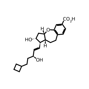 O=C(O)c1ccc2c(c1)O[C@H]1C[C@@H](O)[C@H](/C=C/[C@@H](O)CCC3CCC3)[C@H]1CC2